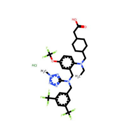 CCN(CC1CCC(CC(=O)O)CC1)c1ccc(OC(F)(F)F)cc1CN(Cc1cc(C(F)(F)F)cc(C(F)(F)F)c1)c1nnn(C)n1.Cl